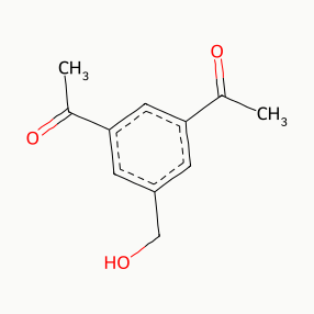 CC(=O)c1cc(CO)cc(C(C)=O)c1